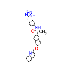 CC(C(=O)Nc1ccc(Cc2nnn[nH]2)cc1)c1ccc2cc(OCc3ccc4ccccc4n3)ccc2c1